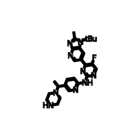 Cc1nc2ncc(-c3nc(Nc4ccc(C(C)N5CCNCC5)cn4)ncc3F)cc2n1C(C)(C)C